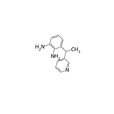 CC(c1cccnc1)c1cccc(N)c1N